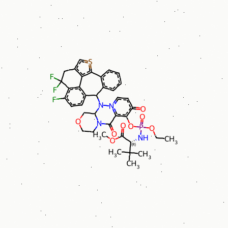 CCOP(=O)(N[C@@H](C(=O)OC)C(C)(C)C)Oc1c2n(ccc1=O)N(C1c3ccccc3-c3scc4c3-c3c1ccc(F)c3C(F)(F)C4)C1COCCN1C2=O